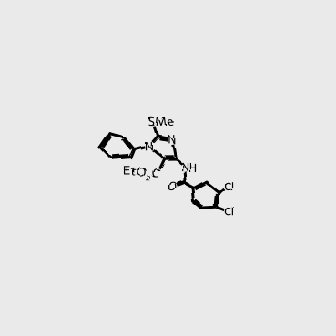 CCOC(=O)c1c(NC(=O)c2ccc(Cl)c(Cl)c2)nc(SC)n1-c1ccccc1